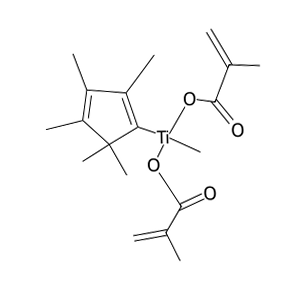 C=C(C)C(=O)[O][Ti]([CH3])([O]C(=O)C(=C)C)[C]1=C(C)C(C)=C(C)C1(C)C